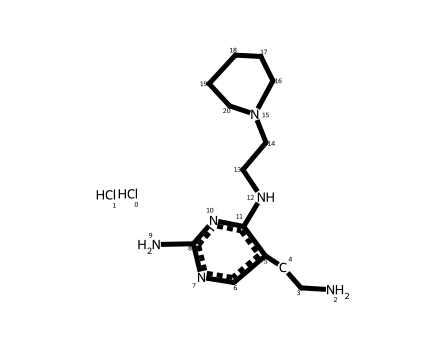 Cl.Cl.NCCc1cnc(N)nc1NCCN1CCCCC1